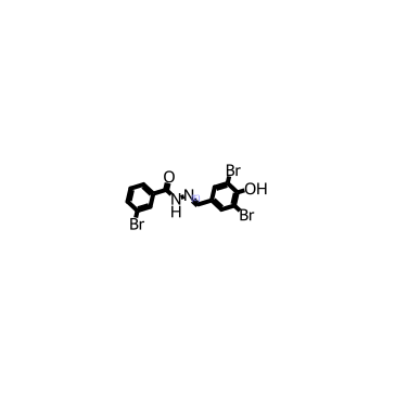 O=C(N/N=C/c1cc(Br)c(O)c(Br)c1)c1cccc(Br)c1